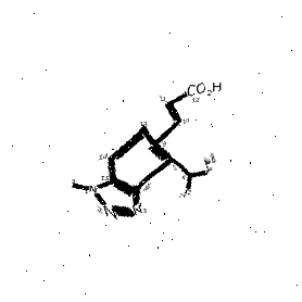 Cn1nnc2c(C(F)F)c(/C=C/C(=O)O)ccc21